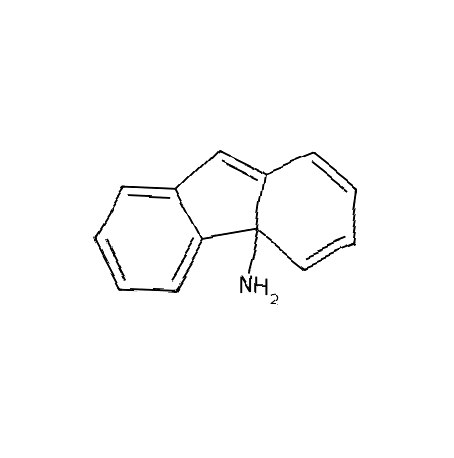 NC12C=CC=CC1=Cc1ccccc12